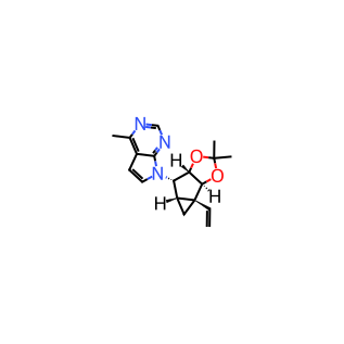 C=C[C@@]12C[C@@H]1[C@H](n1ccc3c(C)ncnc31)[C@@H]1OC(C)(C)O[C@H]12